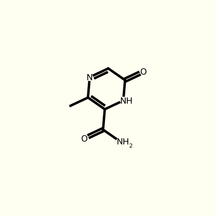 Cc1ncc(=O)[nH]c1C(N)=O